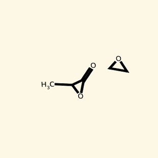 C1CO1.CC1OC1=O